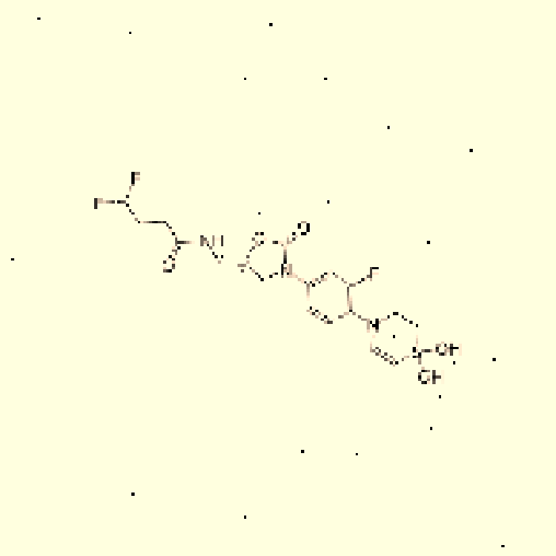 O=C(CCC(F)F)NC[C@H]1CN(c2ccc(N3C=CS(O)(O)CC3)c(F)c2)C(=O)O1